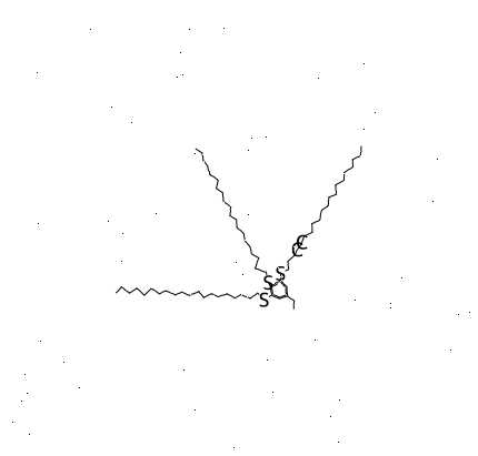 CCCCCCCCCCCCCCCCCCCCSc1cc(CC)cc(SCCCCCCCCCCCCCCCCCCCC)c1SCCCCCCCCCCCCCCCCCCCC